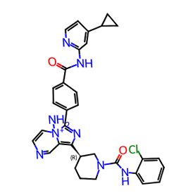 N[N+]12C=CN=CC1=C([C@@H]1CCCN(C(=O)Nc3ccccc3Cl)C1)N=C2c1ccc(C(=O)Nc2cc(C3CC3)ccn2)cc1